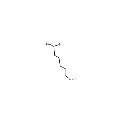 CCCCCCCCCCC(Br)CC